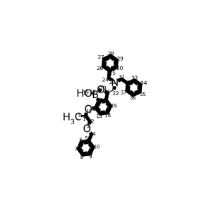 C[C@H](COCc1ccccc1)Oc1cccc2c1B(O)O[C@@H]2CN(Cc1ccccc1)Cc1ccccc1